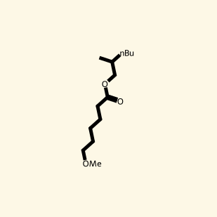 CCCCC(C)COC(=O)CCCCCOC